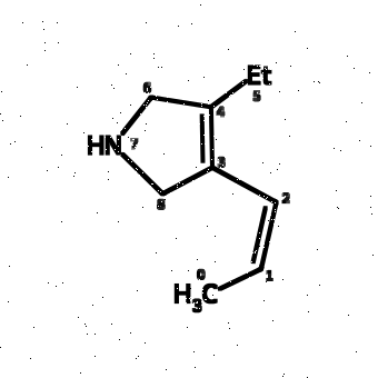 C/C=C\C1=C(CC)CNC1